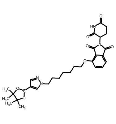 CC1(C)OB(c2cnn(CCCCCCCOc3cccc4c3C(=O)N(C3CCC(=O)NC3=O)C4=O)c2)OC1(C)C